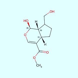 COC(=O)C1=CO[C@@H](O)[C@@H]2C(CO)CC[C@H]12